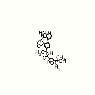 CC(NC(=O)c1cc(C(C)(C)O)on1)c1ccc(-c2ccnc3[nH]nc(N4CCOCC4)c23)cc1